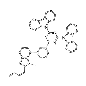 C=C/C=C\c1sc2cccc(-c3cccc(-c4nc(-n5c6ccccc6c6ccccc65)nc(-n5c6ccccc6c6ccccc65)n4)c3)c2c1C